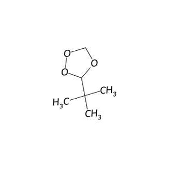 CC(C)(C)C1OCOO1